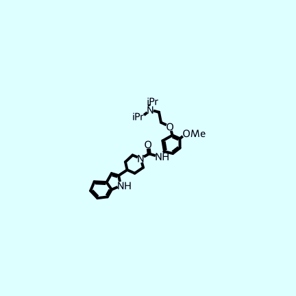 COc1ccc(NC(=O)N2CCC(c3cc4ccccc4[nH]3)CC2)cc1OCCN(C(C)C)C(C)C